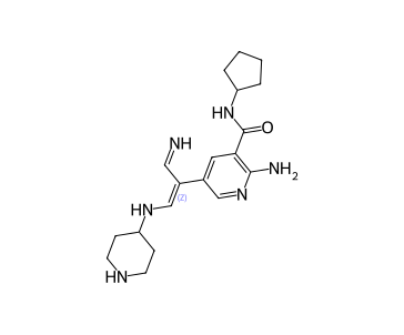 N=C/C(=C\NC1CCNCC1)c1cnc(N)c(C(=O)NC2CCCC2)c1